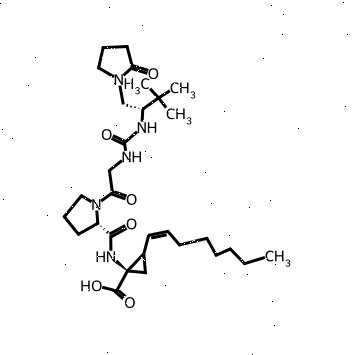 CCCCCC/C=C\C1C[C@]1(NC(=O)[C@@H]1CCCN1C(=O)CNC(=O)N[C@H](CN1CCCC1=O)C(C)(C)C)C(=O)O